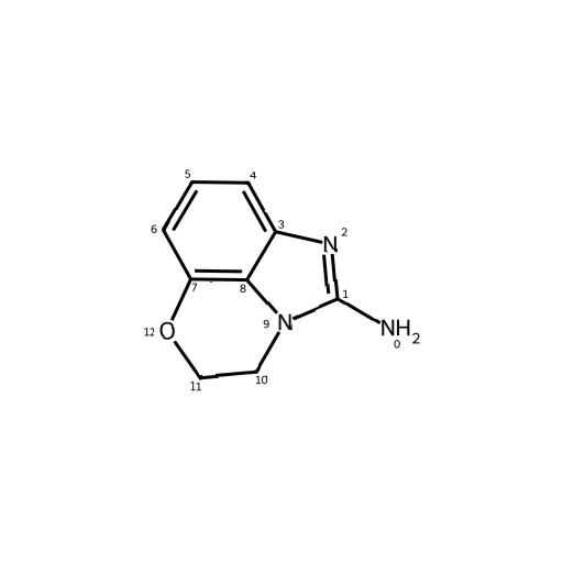 Nc1nc2cccc3c2n1CCO3